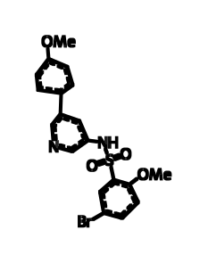 COc1ccc(-c2cncc(NS(=O)(=O)c3cc(Br)ccc3OC)c2)cc1